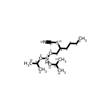 CCCCC(CO[SiH](OC(C)C)OC(C)C)SC#N